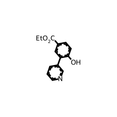 CCOC(=O)c1ccc(O)c(-c2cccnc2)c1